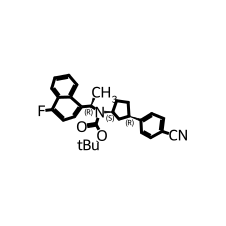 C[C@H](c1ccc(F)c2ccccc12)N(C(=O)OC(C)(C)C)[C@H]1CC[C@@H](c2ccc(C#N)cc2)C1